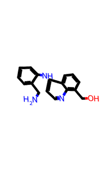 NCc1ccccc1Nc1ccnc2c(CO)cccc12